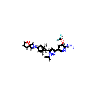 CC(C)n1nc(-c2cnc(N)c(OC(F)F)c2)cc1[C@H]1[C@@H]2C[C@@H](N3CC4(CCCO4)C3)C[C@@H]21